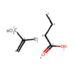 C=C(CC)C(=O)O.CCCC(=O)O